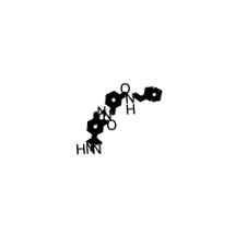 O=C(NCCC1CC2CCC1C2)c1cccc(Cn2ncc3ccc(-c4cn[nH]c4)cc3c2=O)c1